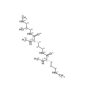 CNCCC[C@H](NC)C(=O)NCCC[C@H](NC)C(=O)NCC(O)CNC